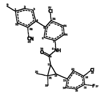 Cc1ccc(-c2cc(NC(=O)C3C(c4ccc(F)c(Cl)c4)C3(C)C)ccc2Cl)c(C#N)c1